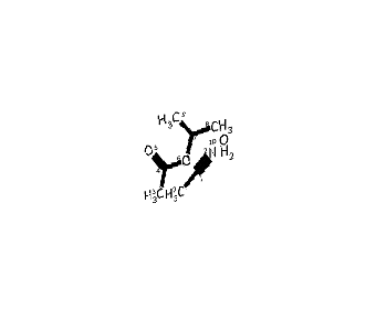 CC#N.CC(=O)OC(C)C.O